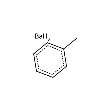 Cc1ccccc1.[BaH2]